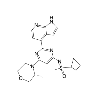 C[C@@H]1COCCN1c1cc(N=S(C)(=O)C2CCC2)nc(-c2ccnc3[nH]ccc23)n1